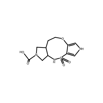 O=C(O)N1CC2CCOc3c[nH]cc3S(=O)(=O)NC2C1